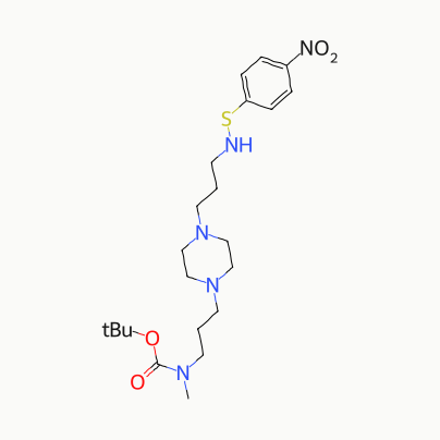 CN(CCCN1CCN(CCCNSc2ccc([N+](=O)[O-])cc2)CC1)C(=O)OC(C)(C)C